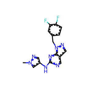 Cn1cc(Nc2ncc3cnn(Cc4ccc(F)c(F)c4)c3n2)cn1